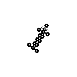 O=C1c2c(c(-c3ccccc3)c3c(c2-c2ccccc2)-c2ccc4c5ccc6c7ccc8c9c(ccc(c%10ccc(c%11ccc-3c2c4%11)c5c6%10)c97)-c2c(-c3ccccc3)ccc(-c3ccccc3)c2-8)C(=O)N1c1ccccc1